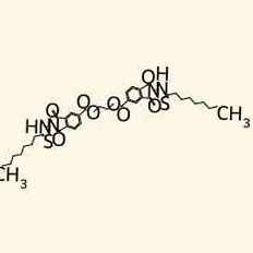 CCCCCCCCC(=S)NN1C(=O)c2ccc(C(=O)OCCOC(=O)c3ccc4c(c3)C(=O)N(NC(=S)CCCCCCCC)C4=O)cc2C1=O